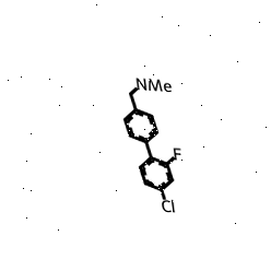 CNCc1ccc(-c2ccc(Cl)cc2F)cc1